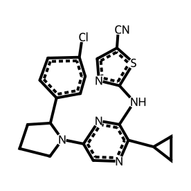 N#Cc1cnc(Nc2nc(N3CCCC3c3ccc(Cl)cc3)cnc2C2CC2)s1